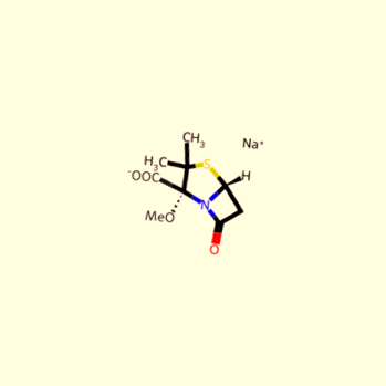 CO[C@@]1(C(=O)[O-])N2C(=O)C[C@H]2SC1(C)C.[Na+]